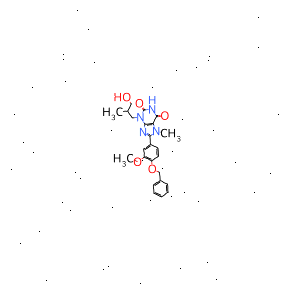 COc1cc(-c2nc3c(c(=O)[nH]c(=O)n3CC(C)CO)n2C)ccc1OCc1ccccc1